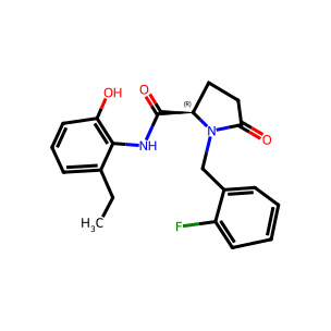 CCc1cccc(O)c1NC(=O)[C@H]1CCC(=O)N1Cc1ccccc1F